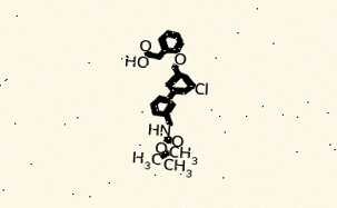 CC(C)(C)OC(=O)NCc1cccc(-c2cc(Cl)cc(COc3ccccc3CC(=O)O)c2)c1